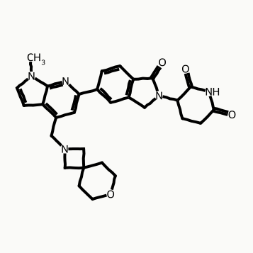 Cn1ccc2c(CN3CC4(CCOCC4)C3)cc(-c3ccc4c(c3)CN(C3CCC(=O)NC3=O)C4=O)nc21